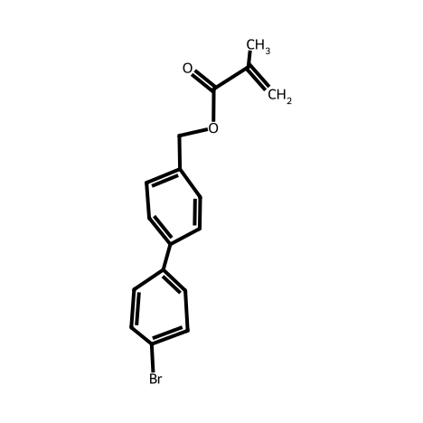 C=C(C)C(=O)OCc1ccc(-c2ccc(Br)cc2)cc1